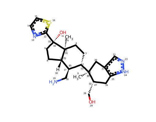 C[C@]1([C@H]2CC[C@@]3(C)[C@@H](CC[C@@]3(O)c3nccs3)[C@@H]2CN)Cc2cn[nH]c2C[C@@H]1CO